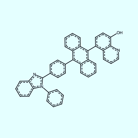 Oc1ccc(-c2c3ccccc3c(-c3ccc(-c4nc5ccccc5n4-c4ccccc4)cc3)c3ccccc23)c2cccnc12